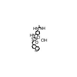 CC(=N)Nc1ccc(Cl)c(NC2=NC(=O)C(=Cc3ccc4ncccc4c3)S2)c1.Cl